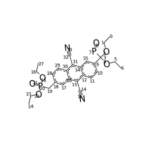 CCOC(OCC)(P=O)c1ccc2c(C#N)c3cc(CP(=O)(OCC)OCC)ccc3c(C#N)c2c1